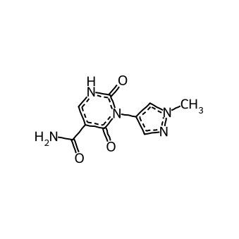 Cn1cc(-n2c(=O)[nH]cc(C(N)=O)c2=O)cn1